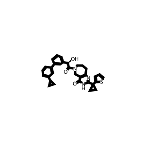 O=C([C@H](O)c1cccc(-c2cccc(C3CC3)c2)c1)N1CCCc2nc(C3(c4cccs4)CC3)[nH]c(=O)c2C1